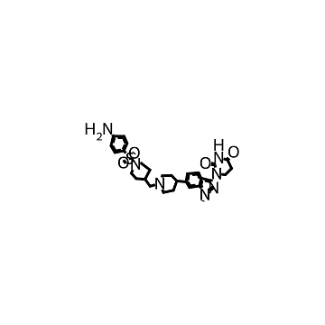 Cn1nc(N2CCC(=O)NC2=O)c2ccc(C3CCN(CC4CCN(S(=O)(=O)c5ccc(N)cc5)CC4)CC3)cc21